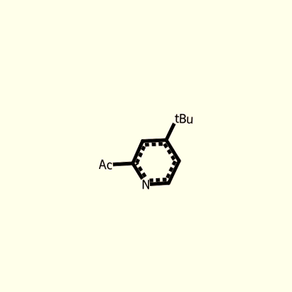 CC(=O)c1cc(C(C)(C)C)ccn1